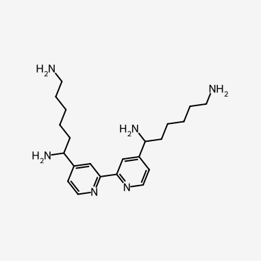 NCCCCCC(N)c1ccnc(-c2cc(C(N)CCCCCN)ccn2)c1